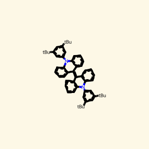 CC(C)(C)c1cc(N2c3ccccc3C(=C3c4ccccc4N(c4cc(C(C)(C)C)cc(C(C)(C)C)c4)c4ccccc43)c3ccccc32)cc(C(C)(C)C)c1